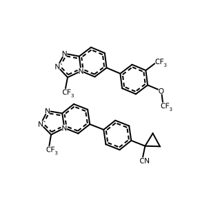 FC(F)(F)Oc1ccc(-c2ccc3nnc(C(F)(F)F)n3c2)cc1C(F)(F)F.N#CC1(c2ccc(-c3ccc4nnc(C(F)(F)F)n4c3)cc2)CC1